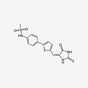 CS(=O)(=O)Nc1ccc(-c2ccc(/C=C3/NC(=S)NC3=O)s2)cc1